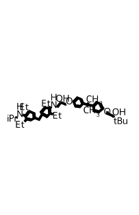 CCc1cc(Cc2cc(CC)c(NC(C)C)c(CC)c2)cc(CC)c1NCC(O)COc1ccc(C(C)(C)c2ccc(OCC(O)C(C)(C)C)cc2)cc1